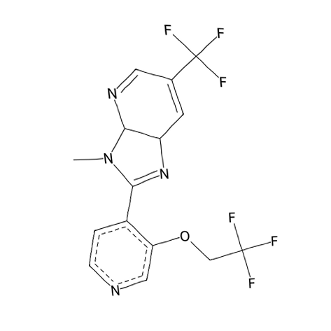 CN1C(c2ccncc2OCC(F)(F)F)=NC2C=C(C(F)(F)F)C=NC21